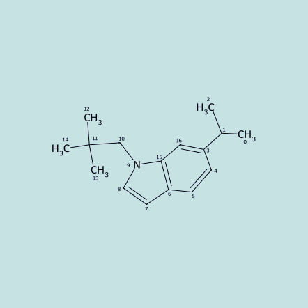 CC(C)c1ccc2ccn(CC(C)(C)C)c2c1